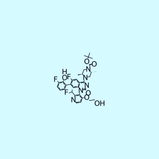 CC(C)c1nccc(OCCO)c1-n1c(=O)nc(N2C[C@@H](C)N(C(=O)OC(C)(C)C)C[C@@H]2C)c2cc(F)c(-c3c(F)ccc(F)c3O)cc21